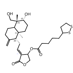 C=C1CCC2[C@](C)(CO)[C@H](O)CC[C@@]2(C)[C@@H]1C/C=C1/C(=O)OCC1OC(=O)CCCCC1CCSS1